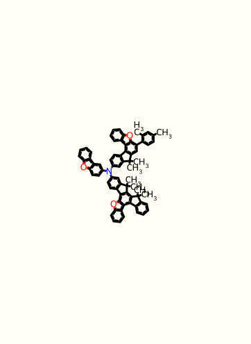 Cc1ccc(-c2cc3c(c4c2oc2ccccc24)-c2ccc(N(c4ccc5c(c4)C(C)(C)c4c6c(c7c(oc8ccccc87)c4-5)-c4ccccc4C6(C)C)c4ccc5oc6ccccc6c5c4)cc2C3(C)C)c(C)c1